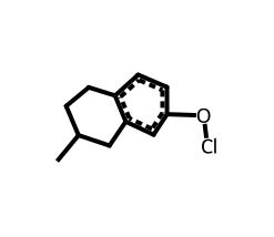 CC1CCc2ccc(OCl)cc2C1